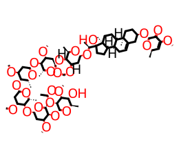 COC1=C[C@@H](C)O[C@@H](O[C@H]2CC[C@@]3(C)C(=CC[C@@H]4[C@@H]3CC[C@@]3(C)[C@H]4CC[C@]3(O)[C@H](C)O[C@H]3C[C@H]4OCO[C@@]5(C[C@@H](OC)[C@H](O[C@H]6C[C@H](OC)[C@H](O[C@H]7C[C@H](OC)[C@H](O[C@H]8C[C@H](OC)[C@H](O[C@@H]9O[C@H](C)[C@H](O)[C@H](OC)[C@H]9OC(C)=O)[C@@H](C)O8)[C@@H](C)O7)[C@@H](C)O6)[C@@H](C)O5)O[C@@H]4[C@@H](C)O3)C2)C1=O